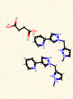 Cn1ccc(Cn2cc(-c3ccccn3)cn2)n1.Cn1ccc(Cn2cc(-c3ccccn3)cn2)n1.O=C(O)CCC(=O)O